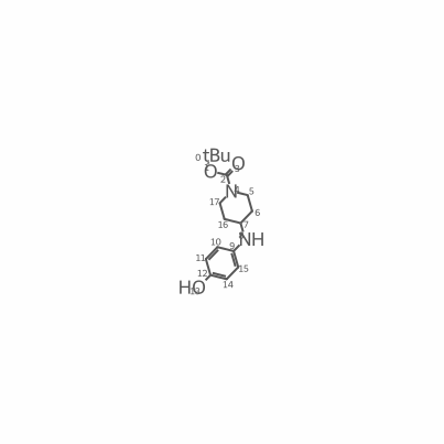 CC(C)(C)OC(=O)N1CCC(Nc2ccc(O)cc2)CC1